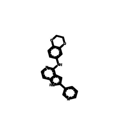 c1cncc(-c2cc3c(Nc4ccc5c(c4)OCCO5)nccc3[nH]2)c1